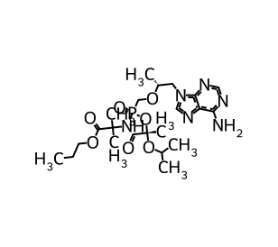 CCCOC(=O)C(C)(C)NP(=O)(CO[C@H](C)Cn1cnc2c(N)ncnc21)O[C@@](C)(C=O)OC(C)C